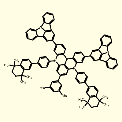 CC(C)(C)c1cc(-c2cc3c4c(c2)N(c2ccc(-c5ccc6c(c5)C(C)(C)CCC6(C)C)cc2)c2cc(-c5cc6c7ccccc7n7c8ccccc8c(c5)c67)ccc2B4c2ccc(-c4cc5c6ccccc6n6c7ccccc7c(c4)c56)cc2N3c2ccc(-c3ccc4c(c3)C(C)(C)CCC4(C)C)cc2)cc(C(C)(C)C)c1